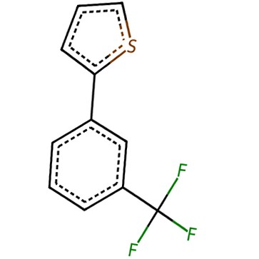 FC(F)(F)c1cccc(-c2cccs2)c1